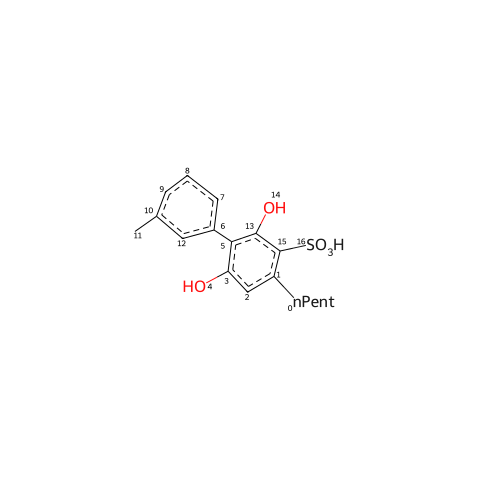 CCCCCc1cc(O)c(-c2cccc(C)c2)c(O)c1S(=O)(=O)O